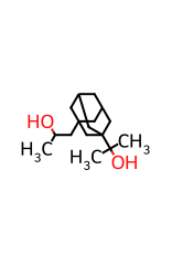 CC(O)CC12CC3CC(C1)CC(C(C)(C)O)(C3)C2